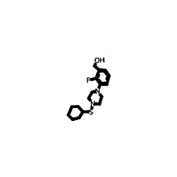 OCc1cccc(N2CCN(SC3CCCCC3)CC2)c1F